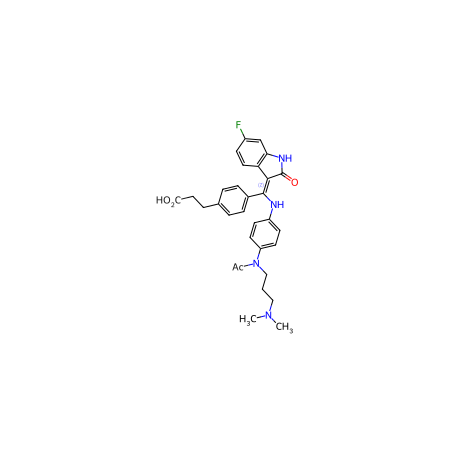 CC(=O)N(CCCN(C)C)c1ccc(N/C(=C2\C(=O)Nc3cc(F)ccc32)c2ccc(CCC(=O)O)cc2)cc1